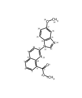 COC(=O)c1cccc2ccc(-n3cnc4cc(OC)ccc43)nc12